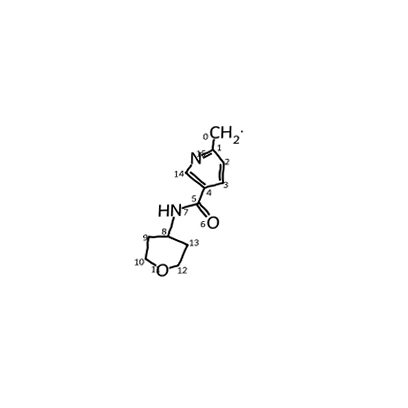 [CH2]c1ccc(C(=O)NC2CCOCC2)cn1